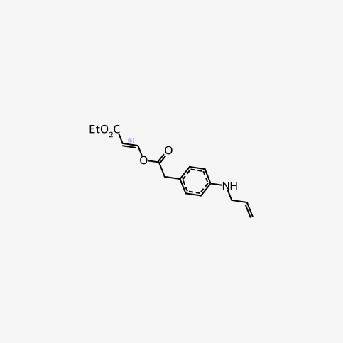 C=CCNc1ccc(CC(=O)O/C=C/C(=O)OCC)cc1